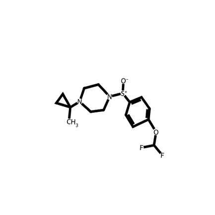 CC1(N2CCN([S+]([O-])c3ccc(OC(F)F)cc3)CC2)CC1